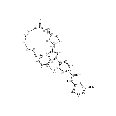 N#Cc1ccnc(NC(=O)c2ccc(-c3nn4c5c(cnc(N)c35)/C=C/CCCCCC(=O)N[C@@H]3CC[C@@H]4C3)cc2)c1